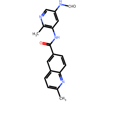 Cc1ccc2cc(C(=O)Nc3cc(NC=O)cnc3C)ccc2n1